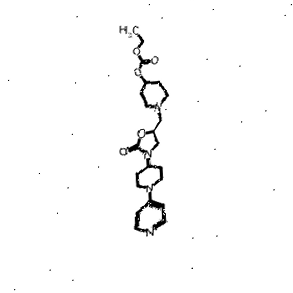 CCOC(=O)OC1CCN(C[C@H]2CN(C3CCN(c4ccncc4)CC3)C(=O)O2)CC1